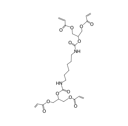 C=CC(=O)OCC(COC(=O)C=C)OC(=O)NCCCCCCNC(=O)OC(COC(=O)C=C)COC(=O)C=C